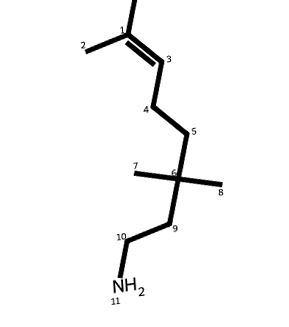 CC(C)=CCCC(C)(C)CCN